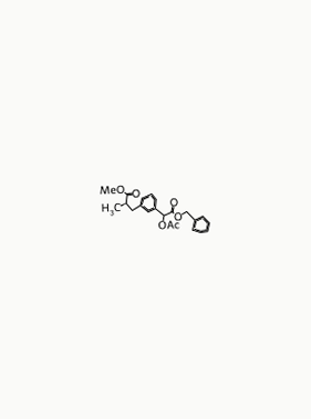 COC(=O)[C@H](C)Cc1cccc(C(OC(C)=O)C(=O)OCc2ccccc2)c1